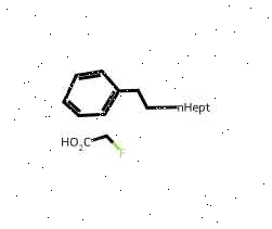 CCCCCCCCCc1ccccc1.O=C(O)CF